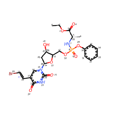 CCOC(=O)[C@H](C)NP(=O)(OCC1O[C@@H](n2cc(/C=C/Br)c(=O)[nH]c2=O)C[C@H]1O)Oc1ccccc1